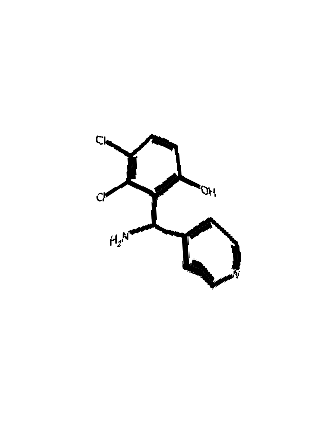 NC(c1ccncc1)c1c(O)ccc(Cl)c1Cl